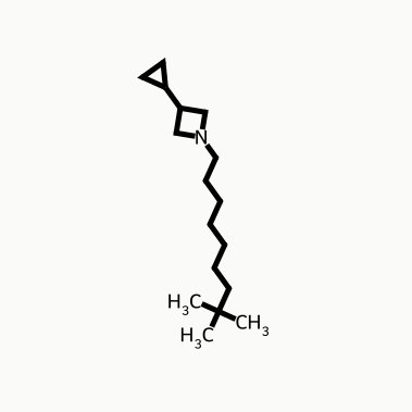 CC(C)(C)CCCCCCCN1CC(C2CC2)C1